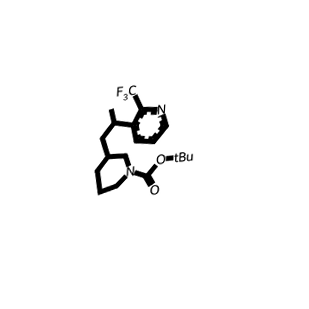 CC(CC1CCCN(C(=O)OC(C)(C)C)C1)c1cccnc1C(F)(F)F